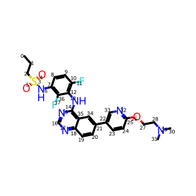 CCCS(=O)(=O)Nc1ccc(F)c(Nc2ncnc3ccc(-c4ccc(OCCN(C)C)nc4)cc23)c1F